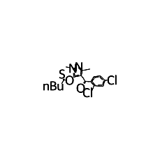 CCCCC(=S)Oc1c(C(=O)c2ccc(Cl)cc2Cl)c(C)nn1C